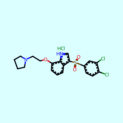 Cl.O=S(=O)(c1ccc(Cl)c(Cl)c1)c1c[nH]c2c(OCCN3CCCC3)cccc12